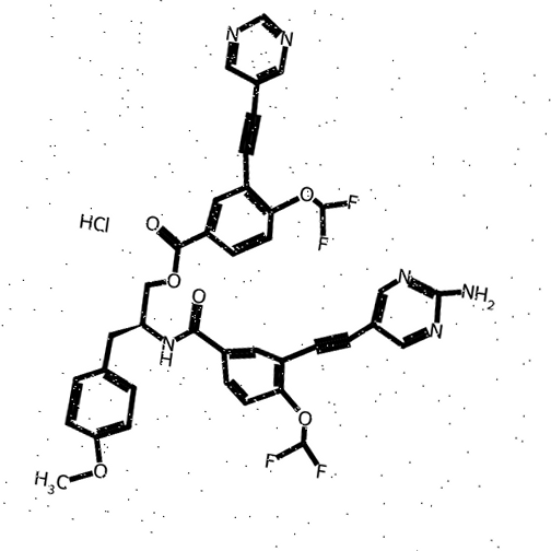 COc1ccc(C[C@@H](COC(=O)c2ccc(OC(F)F)c(C#Cc3cncnc3)c2)NC(=O)c2ccc(OC(F)F)c(C#Cc3cnc(N)nc3)c2)cc1.Cl